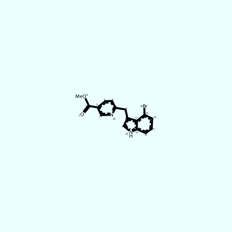 COC(=O)c1ccc(Cc2c[nH]c3cccc(Br)c23)nc1